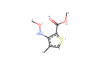 CONc1c(C)csc1C(=O)OC